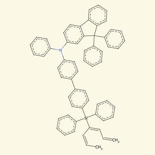 C=C/C=C(\C=C/C)[Si](c1ccccc1)(c1ccccc1)c1ccc(-c2ccc(N(c3ccccc3)c3ccc4c(c3)C(c3ccccc3)(c3ccccc3)c3ccccc3-4)cc2)cc1